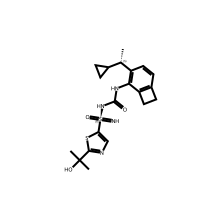 C[C@H](c1ccc2c(c1NC(=O)N[S@](=N)(=O)c1cnc(C(C)(C)O)s1)CC2)C1CC1